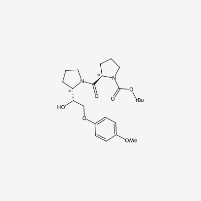 COc1ccc(OCC(O)[C@@H]2CCCN2C(=O)[C@H]2CCCN2C(=O)OC(C)(C)C)cc1